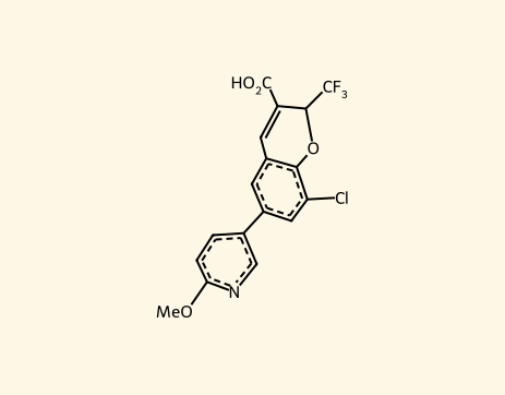 COc1ccc(-c2cc(Cl)c3c(c2)C=C(C(=O)O)C(C(F)(F)F)O3)cn1